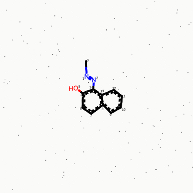 CN=Nc1c(O)ccc2ccccc12